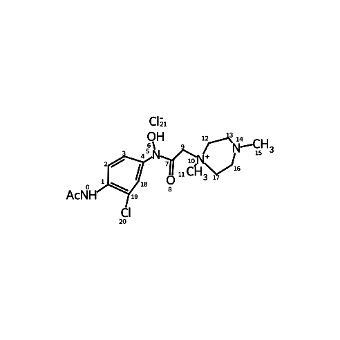 CC(=O)Nc1ccc(N(O)C(=O)C[N+]2(C)CCN(C)CC2)cc1Cl.[Cl-]